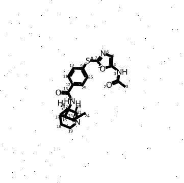 CC(=O)Nc1cnc(Sc2ccc(C(=O)N[C@@H]3C4CCN(CC4)[C@H]3C)cc2)o1